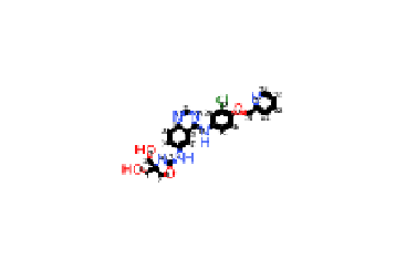 OCC1(CO)COC(NC2=CC3C(Nc4ccc(OCc5ccccn5)c(Cl)c4)=NC=NC3C=C2)=N1